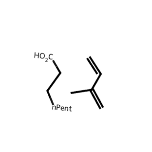 C=CC(=C)C.CCCCCCCC(=O)O